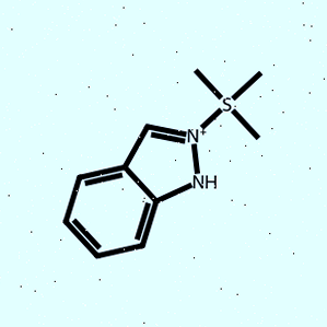 CS(C)(C)[n+]1cc2ccccc2[nH]1